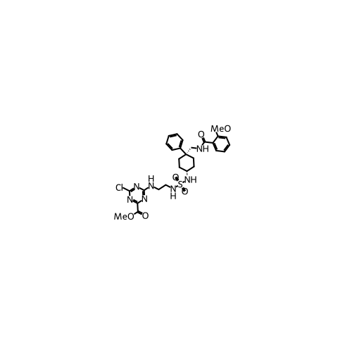 COC(=O)c1nc(Cl)nc(NCCNS(=O)(=O)N[C@H]2CC[C@](CNC(=O)c3ccccc3OC)(c3ccccc3)CC2)n1